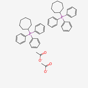 CC(=O)[O-].CC(=O)[O-].c1ccc([P+](c2ccccc2)(c2ccccc2)C2CCCCCC2)cc1.c1ccc([P+](c2ccccc2)(c2ccccc2)C2CCCCCC2)cc1